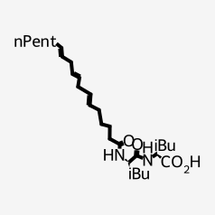 CCCCCC=CCC=CCC=CCCCCC(=O)N[C@H](C(=O)N[C@H](C(=O)O)[C@@H](C)CC)[C@@H](C)CC